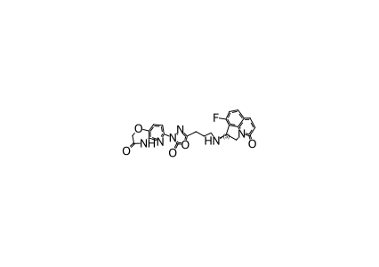 O=C1COc2ccc(-n3nc(CCCN[C@@H]4Cn5c(=O)ccc6ccc(F)c4c65)oc3=O)nc2N1